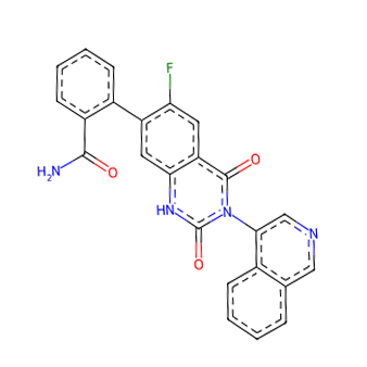 NC(=O)c1ccccc1-c1cc2[nH]c(=O)n(-c3cncc4ccccc34)c(=O)c2cc1F